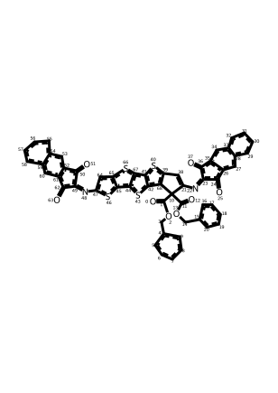 O=C(OCc1ccccc1)C1(C(=O)OCc2ccccc2)C(N=c2c(=O)c3cc4ccccc4cc3c2=O)=Cc2sc3c(sc4c5sc(N=c6c(=O)c7cc8ccccc8cc7c6=O)cc5sc34)c21